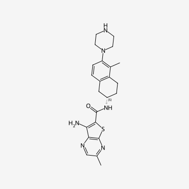 Cc1cnc2c(N)c(C(=O)N[C@H]3CCc4c(ccc(N5CCNCC5)c4C)C3)sc2n1